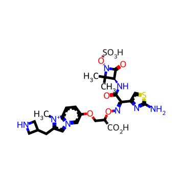 C[n+]1c(CC2CNC2)cn2cc(OCC(O/N=C(\C(=O)N[C@@H]3C(=O)N(OS(=O)(=O)O)C3(C)C)c3csc(N)n3)C(=O)O)ccc21